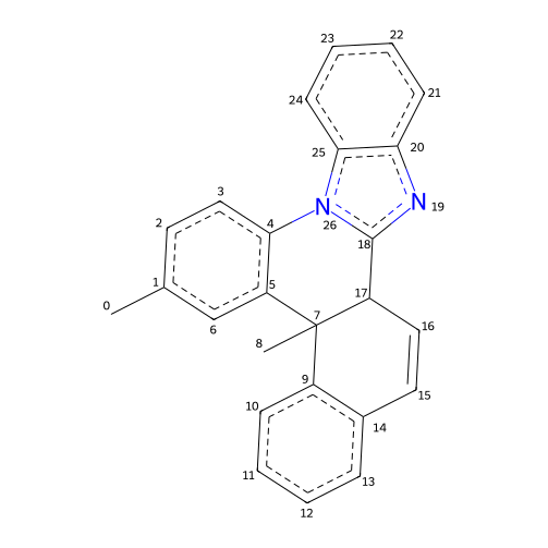 Cc1ccc2c(c1)C1(C)c3ccccc3C=CC1c1nc3ccccc3n1-2